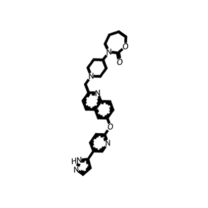 O=C1OCCCCN1C1CCN(Cc2ccc3cc(Oc4ccc(-c5ccn[nH]5)cn4)ccc3n2)CC1